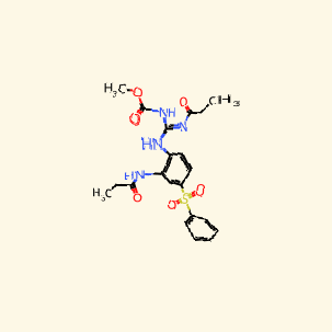 CCC(=O)N=C(NC(=O)OC)Nc1ccc(S(=O)(=O)c2ccccc2)cc1NC(=O)CC